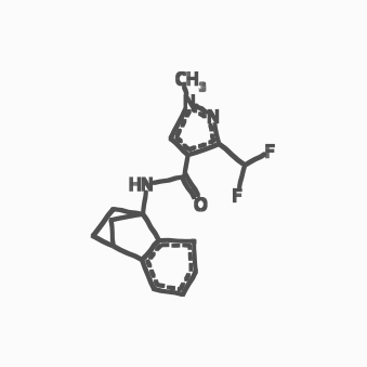 Cn1cc(C(=O)NC23CCC(C2)c2ccccc23)c(C(F)F)n1